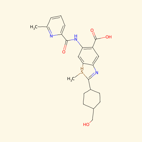 Cc1cccc(C(=O)Nc2cc3c(cc2C(=O)O)N=C(C2CCC(CO)CC2)[SH]3C)n1